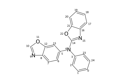 c1ccc(N(c2ccc3ncoc3c2)c2nc3ccccc3o2)cc1